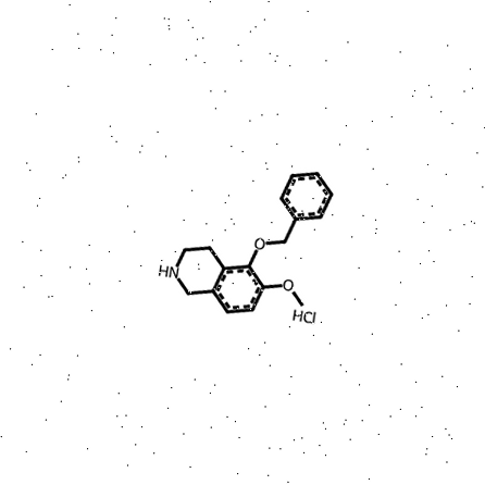 COc1ccc2c(c1OCc1ccccc1)CCNC2.Cl